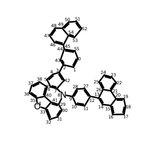 c1cc(-c2cccc(N(c3ccc(-c4cc5ccccc5c5ccccc45)cc3)c3cccc4oc5ccccc5c34)c2)cc(-c2cccc3ccccc23)c1